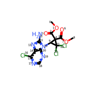 COC(=O)C1(C(=O)OC)C(n2c(N)nc3c(Cl)ncnc32)C1(Cl)Cl